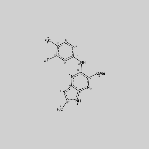 COc1nc2[nH]c(C(F)(F)F)nc2nc1Nc1ccc(C(F)(F)F)c(F)c1